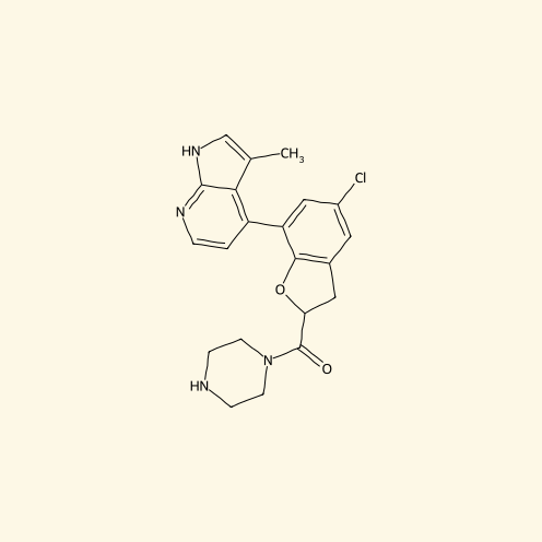 Cc1c[nH]c2nccc(-c3cc(Cl)cc4c3OC(C(=O)N3CCNCC3)C4)c12